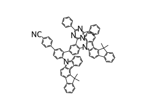 CC1(C)c2ccccc2-c2ccc3c(c21)c1ccccc1n3-c1ccc(-c2ccc(C#N)cc2)cc1-c1ccc(-n2c3ccccc3c3c4c(ccc32)-c2ccccc2C4(C)C)c(-c2nc(-c3ccccc3)nc(-c3ccccc3)n2)c1